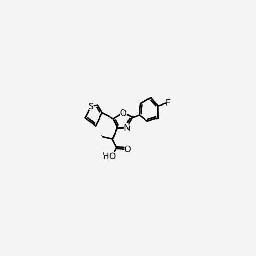 CC(C(=O)O)c1nc(-c2ccc(F)cc2)oc1-c1ccsc1